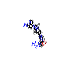 C[C@@H]1CN(c2ccc(C#N)c3ncccc23)C[C@@H]2Cc3cc(N4CCN(C(=O)C(C)(C)N)CC4)ccc3CN21